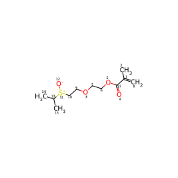 C=C(C)C(=O)OCCOCC[S+]([O-])C(C)C